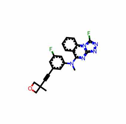 CN(c1cc(F)cc(C#CC2(C)COC2)c1)c1nc2nnc(F)n2c2ccccc12